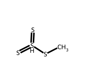 CS[SH](=S)=S